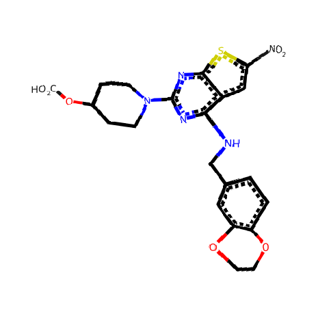 O=C(O)OC1CCN(c2nc(NCc3ccc4c(c3)OCCO4)c3cc([N+](=O)[O-])sc3n2)CC1